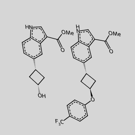 COC(=O)c1c[nH]c2ccc([C@H]3C[C@@H](O)C3)cc12.COC(=O)c1c[nH]c2ccc([C@H]3C[C@H](Oc4ccc(C(F)(F)F)cc4)C3)cc12